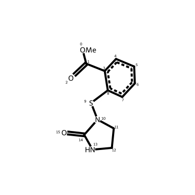 COC(=O)c1ccccc1SN1CCNC1=O